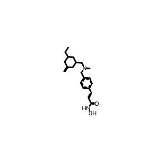 C=C1CC(CC)CC(CN(C)Cc2ccc(/C=C/C(=O)NO)cc2)C1